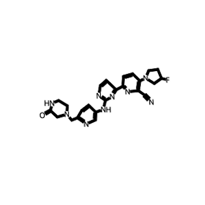 N#Cc1nc(-c2ccnc(Nc3ccc(CN4CCNC(=O)C4)nc3)n2)ccc1N1CCC(F)C1